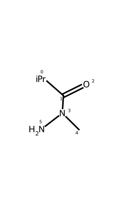 CC(C)C(=O)N(C)N